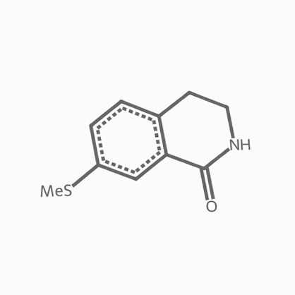 CSc1ccc2c(c1)C(=O)NCC2